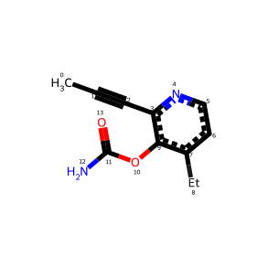 CC#Cc1nccc(CC)c1OC(N)=O